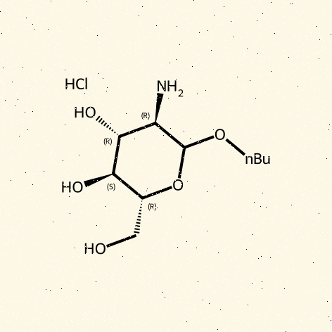 CCCCOC1O[C@H](CO)[C@@H](O)[C@H](O)[C@H]1N.Cl